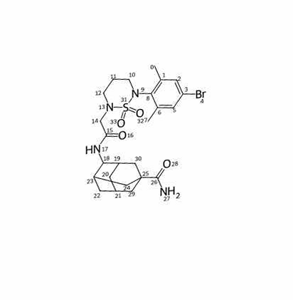 Cc1cc(Br)cc(C)c1N1CCCN(CC(=O)NC2C3CC4CC2CC(C(N)=O)(C4)C3)S1(=O)=O